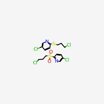 ClCCCSc1ccc(Cl)cn1.O=S(=O)(CCCCl)c1ccc(Cl)cn1